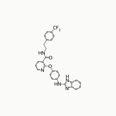 O=C(NCCc1ccc(C(F)(F)F)cc1)c1cccnc1Oc1ccc(Nc2nc3ccccc3[nH]2)cc1